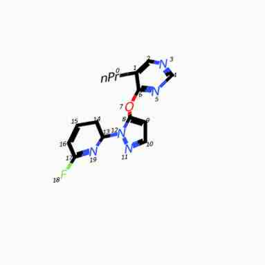 CCCc1cncnc1Oc1ccnn1C1CC=CC(F)=N1